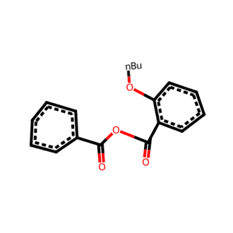 CCCCOc1ccccc1C(=O)OC(=O)c1ccccc1